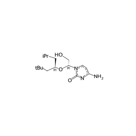 CC(C)C[C@H](CC(C)(C)C)O[C@H](CO)n1ccc(N)nc1=O